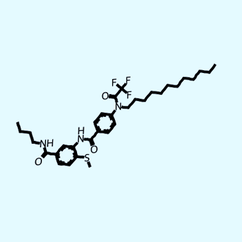 CCCCCCCCCCCCN(C(=O)C(F)(F)F)c1ccc(C(=O)Nc2cc(C(=O)NCCCC)ccc2SC)cc1